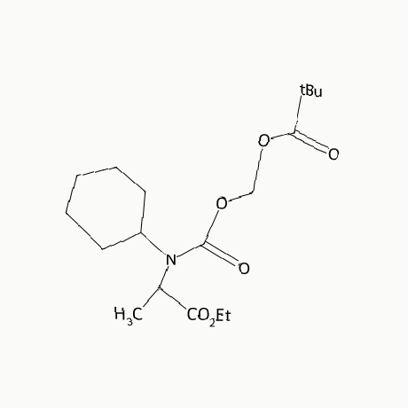 CCOC(=O)C(C)N(C(=O)OCOC(=O)C(C)(C)C)C1CCCCC1